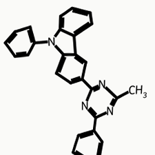 Cc1nc(-c2ccccc2)nc(-c2ccc3c(c2)c2ccccc2n3-c2ccccc2)n1